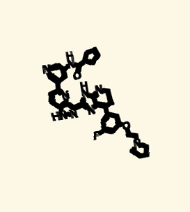 O=C(Nc1cncc(-c2ccc3[nH]nc(-c4nc5c(-c6cc(F)cc(OCCN7CCCC7)c6)ccnc5[nH]4)c3n2)c1)C1CCCC1